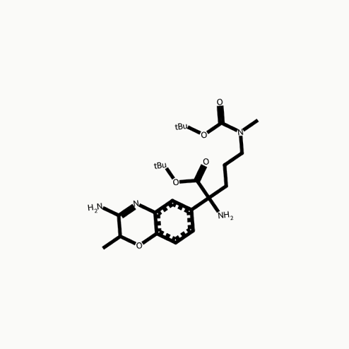 CC1Oc2ccc(C(N)(CCCN(C)C(=O)OC(C)(C)C)C(=O)OC(C)(C)C)cc2N=C1N